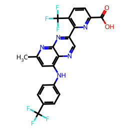 Cc1cc(Nc2ccc(C(F)(F)F)cc2)c2ncc(-c3nc(C(=O)O)ccc3C(F)(F)F)nc2n1